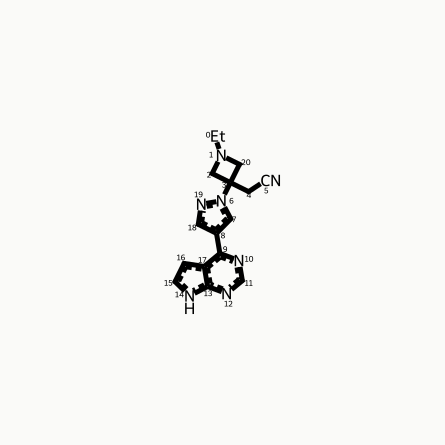 CCN1CC(CC#N)(n2cc(-c3ncnc4[nH]ccc34)cn2)C1